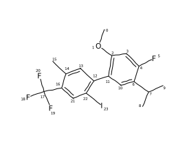 COc1cc(F)c(C(C)C)cc1-c1cc(C)c(C(F)(F)F)cc1I